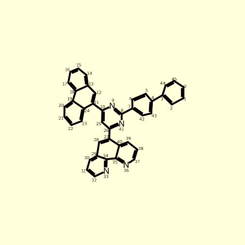 c1ccc(-c2ccc(-c3nc(-c4cc5ccccc5c5ccccc45)cc(-c4cc5cccnc5c5ncccc45)n3)cc2)cc1